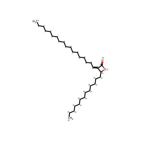 CCCCCCCCCCCCCCCCCC=C1C(=O)OC1CCCCCCCCCCCCC